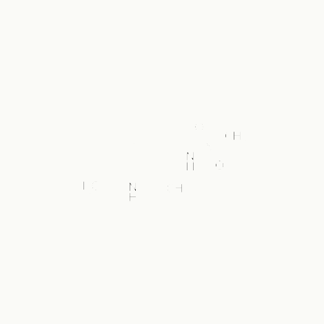 CC1CCC(CNS(C)(=O)=O)C(C)N1